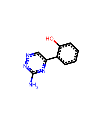 Nc1nncc(-c2ccccc2O)n1